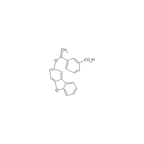 C=C(Oc1ccc2oc3ccccc3c2c1)c1cccc(C(=O)O)c1